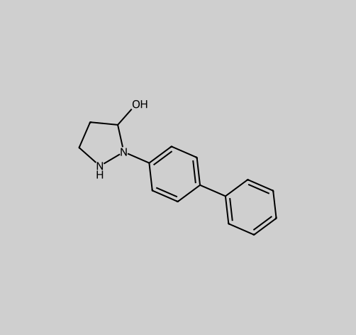 OC1CCNN1c1ccc(-c2ccccc2)cc1